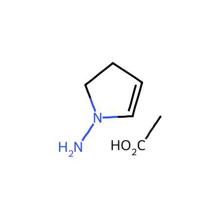 CC(=O)O.NN1C=CCC1